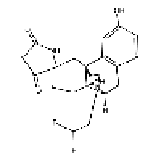 O=C1CC(=O)[C@@]2(CC[C@@]3(O)[C@H]4Cc5ccc(O)cc5[C@@]3(CCN4CC(F)F)C2)N1